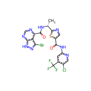 C[C@@H](NC(=O)c1ncnc2[nH]nc(Br)c12)c1ncc(C(=O)Nc2cc(C(F)(F)F)c(Cl)cn2)s1